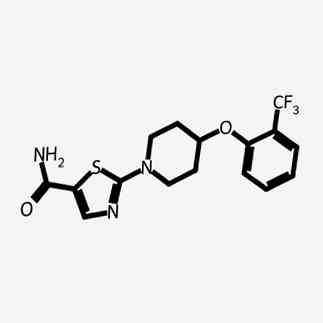 NC(=O)c1cnc(N2CCC(Oc3ccccc3C(F)(F)F)CC2)s1